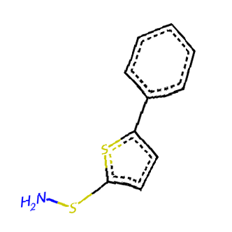 NSc1ccc(-c2ccccc2)s1